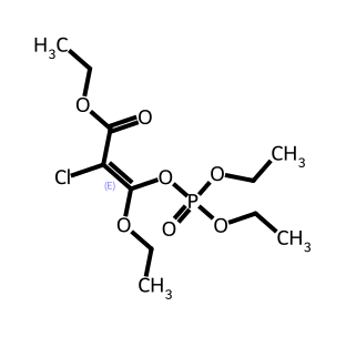 CCOC(=O)/C(Cl)=C(/OCC)OP(=O)(OCC)OCC